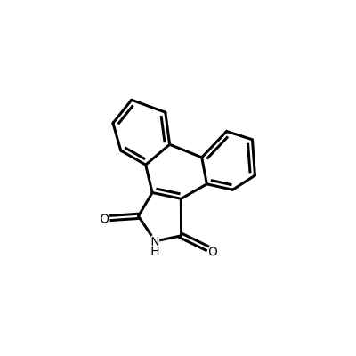 O=C1NC(=O)c2c1c1ccccc1c1ccccc21